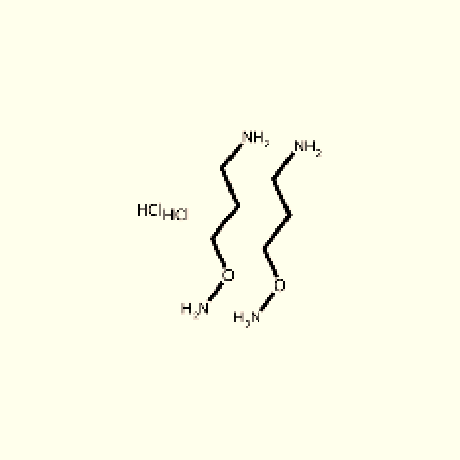 Cl.Cl.NCCCON.NCCCON